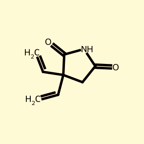 C=CC1(C=C)CC(=O)NC1=O